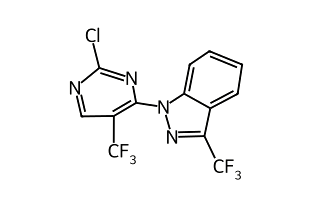 FC(F)(F)c1cnc(Cl)nc1-n1nc(C(F)(F)F)c2ccccc21